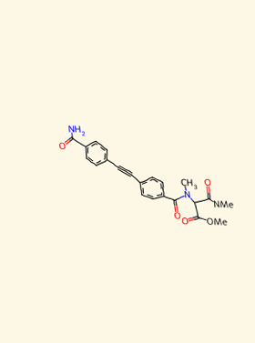 CNC(=O)C(C(=O)OC)N(C)C(=O)c1ccc(C#Cc2ccc(C(N)=O)cc2)cc1